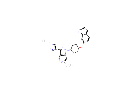 CNc1cc2c(cn1)c(-c1cnn(C)c1)nn2C1CCC(Oc2ccc3cccnc3c2)CC1